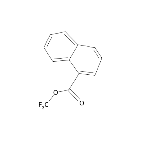 O=C(OC(F)(F)F)c1cccc2ccccc12